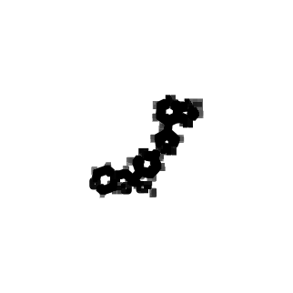 OC(CN1CCOCC1)(c1ccc(-n2cc(-c3ccnc4[nH]cnc34)cn2)nc1)C(F)(F)F